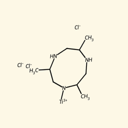 CC1CNC(C)C[N]([Ti+3])C(C)CN1.[Cl-].[Cl-].[Cl-]